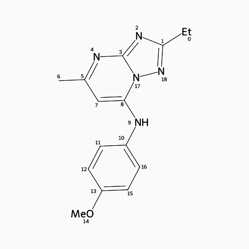 CCc1nc2nc(C)cc(Nc3ccc(OC)cc3)n2n1